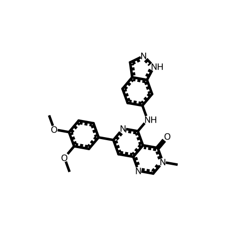 COc1ccc(-c2cc3ncn(C)c(=O)c3c(Nc3ccc4cn[nH]c4c3)n2)cc1OC